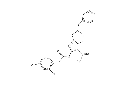 NC(=O)c1c(NC(=O)Cc2ccc(Cl)cc2F)sc2c1CCN(Cc1ccncc1)C2